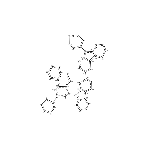 c1ccc(-c2nc(-n3c4ccccc4c4ccc(-c5ccc6c(c5)c5ccccc5n6-c5ccccc5)cc43)c3ccc4ccccc4c3n2)cc1